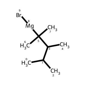 CC(C)C(C)[C](C)(C)[Mg][Br]